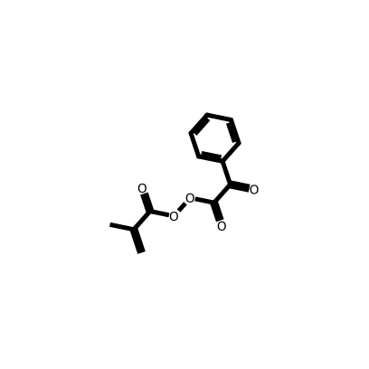 C=C(C)C(=O)OOC(=O)C(=O)c1ccccc1